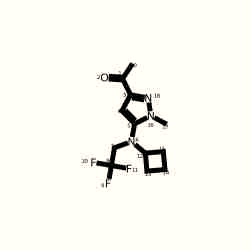 CC(=O)c1cc(N(CC(F)(F)F)C2CCC2)n(C)n1